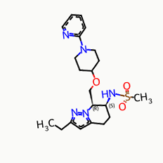 CCc1cc2n(n1)[C@@H](COC1CCN(c3ccccn3)CC1)[C@@H](NS(C)(=O)=O)CC2